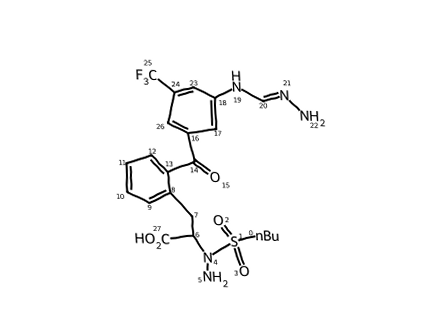 CCCCS(=O)(=O)N(N)C(Cc1ccccc1C(=O)c1cc(NC=NN)cc(C(F)(F)F)c1)C(=O)O